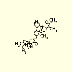 C=CC(=O)N(C)[C@H]1CCC(=O)N(c2cnccc2-c2ccc(CNC(=O)c3nnn(C(C)(C)C)n3)c(C)c2)C1